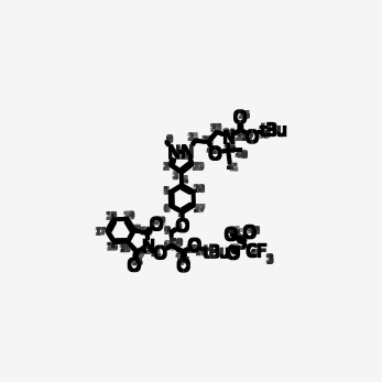 C[n+]1cc(-c2ccc(OC[C@H](ON3C(=O)c4ccccc4C3=O)C(=O)OC(C)(C)C)cc2)cn1CC1CN(C(=O)OC(C)(C)C)C(C)(C)O1.O=S(=O)([O-])C(F)(F)F